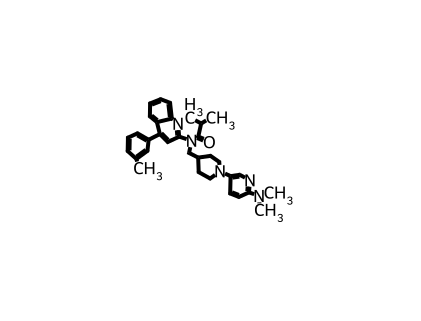 Cc1cccc(-c2cc(N(CC3CCN(c4ccc(N(C)C)nc4)CC3)C(=O)C(C)C)nc3ccccc23)c1